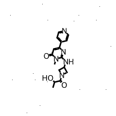 CC(O)C(=O)N1CC(Nc2nc(-c3ccncc3)cc(=O)n2C)C1